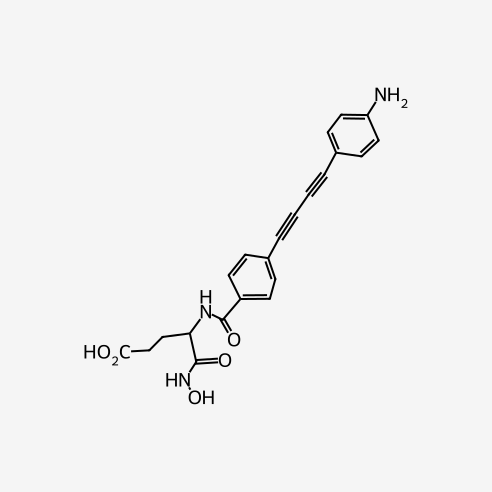 Nc1ccc(C#CC#Cc2ccc(C(=O)NC(CCC(=O)O)C(=O)NO)cc2)cc1